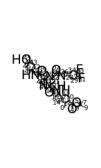 Cc1c(C(=O)OC(C)(C)C)ccc2c1CC[C@@H]2NC(=O)c1cc(C(=O)NCc2ccc(F)c(F)c2)nc2c(C(=O)Nc3ccc(O)cc3)cnn12